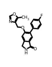 Cc1ocnc1COc1cc2c(cc1-c1ccc(F)cc1)C(=O)NC2